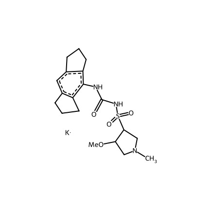 COC1CN(C)CC1S(=O)(=O)NC(=O)Nc1c2c(cc3c1CCC3)CCC2.[K]